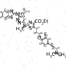 CCOC(=O)c1nc(N(C)c2cc(C3CC3)c(Nc3nc4ccccc4s3)nn2)sc1CCCOc1ccc(C#CCN(C)C)cc1F